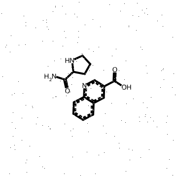 NC(=O)C1CCCN1.O=C(O)c1cnc2ccccc2c1